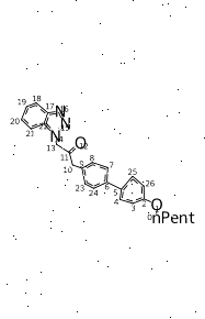 CCCCCOc1ccc(-c2ccc(CC(=O)Cn3nnc4ccccc43)cc2)cc1